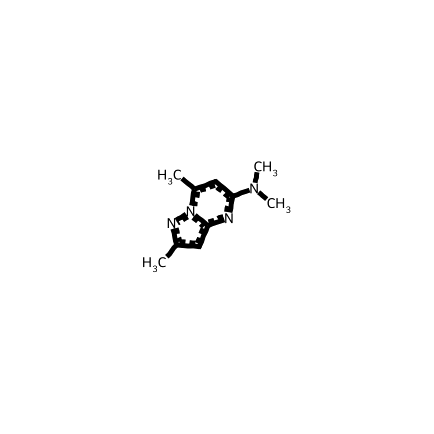 Cc1cc2nc(N(C)C)cc(C)n2n1